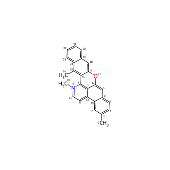 Cc1ccc2cc3c4c([n+](C)ccc4c2c1)-c1c(cc2ccccc2c1C)O3